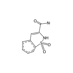 [N]C(=O)C1=Cc2ccccc2S(=O)(=O)N1